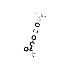 CC[C@@H]([C@H](C)O)n1ncn(-c2ccc(N3CCN(c4ccc(-c5ccc(C(F)(F)C(O)(Cn6cnnn6)c6ccccc6F)nc5)cc4)CC3)cc2)c1=O